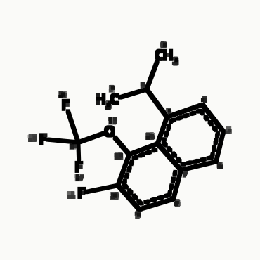 CC(C)c1cccc2ccc(F)c(OC(F)(F)F)c12